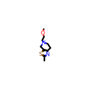 COCCN1CCc2nc(C)sc2C1